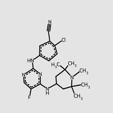 CN1C(C)(C)CC(Nc2nc(Nc3ccc(Cl)c(C#N)c3)ncc2F)CC1(C)C